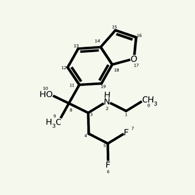 CCNC(CC(F)F)C(C)(O)c1ccc2ccoc2c1